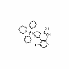 OB(O)c1cn(C(c2ccccc2)(c2ccccc2)c2ccccc2)nc1-c1c(F)cccc1F